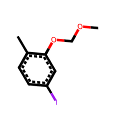 COCOc1cc(I)ccc1C